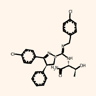 C[C@H](O)[C@@H](N/C(=N\Cc1ccc(Cl)cc1)N1C[C@@H](c2ccccc2)C(c2ccc(Cl)cc2)=N1)C(N)=O